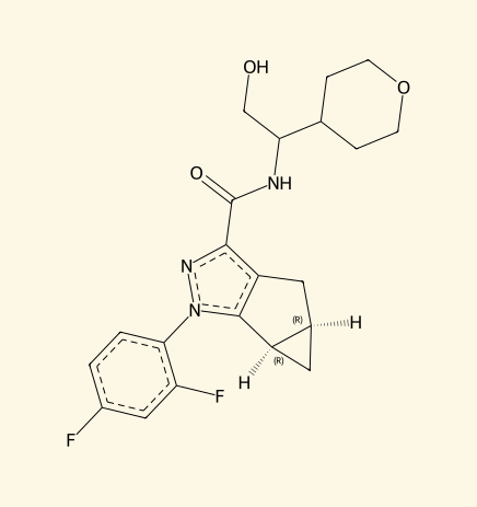 O=C(NC(CO)C1CCOCC1)c1nn(-c2ccc(F)cc2F)c2c1C[C@H]1C[C@@H]21